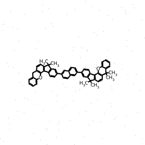 CC1(C)c2ccccc2Oc2c1ccc1c2-c2ccc(-c3ccc4cc(-c5ccc6c(c5)C(C)(C)c5ccc7c(c5-6)Oc5ccccc5C7)ccc4c3)cc2C1(C)C